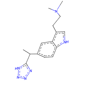 CC(c1ccc2[nH]cc(CCN(C)C)c2c1)c1nnn[nH]1